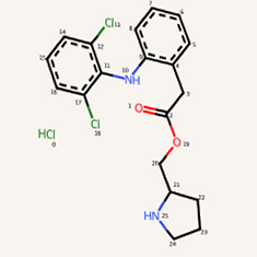 Cl.O=C(Cc1ccccc1Nc1c(Cl)cccc1Cl)OCC1CCCN1